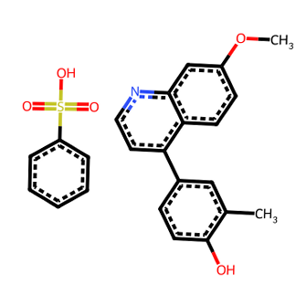 COc1ccc2c(-c3ccc(O)c(C)c3)ccnc2c1.O=S(=O)(O)c1ccccc1